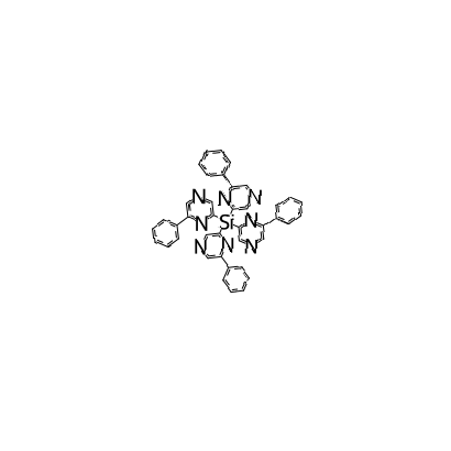 c1ccc(-c2cncc([Si](c3cncc(-c4ccccc4)n3)(c3cncc(-c4ccccc4)n3)c3cncc(-c4ccccc4)n3)n2)cc1